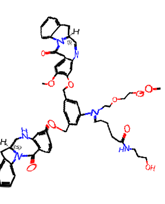 COOCCOCCN(CCCC(=O)NCCCO)c1cc(COc2ccc3c(c2)NC[C@@H]2Cc4ccccc4N2C3=O)cc(COc2cc3c(cc2OC)C(=O)N2c4ccccc4C[C@H]2C=N3)c1